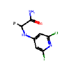 CC(C)C(Nc1cc(Cl)nc(Cl)c1)C(N)=O